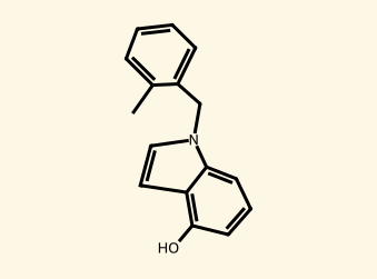 Cc1ccccc1Cn1ccc2c(O)cccc21